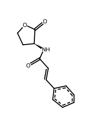 O=C(/C=C/c1ccccc1)N[C@H]1CCOC1=O